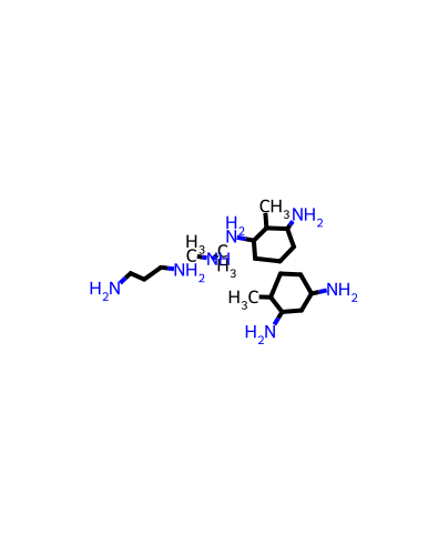 CC1C(N)CCCC1N.CC1CCC(N)CC1N.CNC.NCCCN